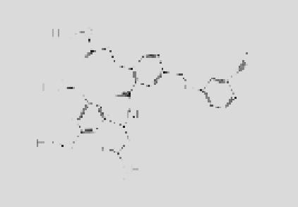 COC(=O)CCc1ccc(COc2cccc(C#N)c2)cc1C(=O)NC(CC(C)C)c1cc(OC)cc(OC)c1